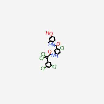 Cc1cc(O)ccc1NC(=O)c1cc(NC(=O)C2C(c3cc(Cl)cc(Cl)c3)C2(Cl)Cl)ccc1Cl